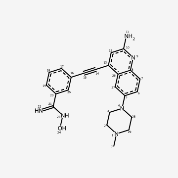 CN1CCN(c2ccc3nc(N)cc(C#Cc4cccc(C(=N)NO)c4)c3c2)CC1